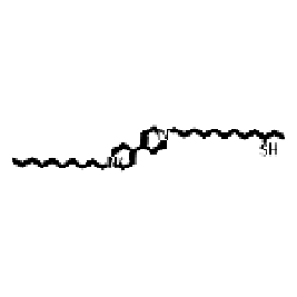 CCCCCCCCCC[n+]1ccc(-c2cc[n+](CCCCCCCCCC(S)CC)cc2)cc1